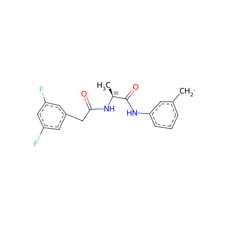 [CH2]c1cccc(NC(=O)[C@H](C)NC(=O)Cc2cc(F)cc(F)c2)c1